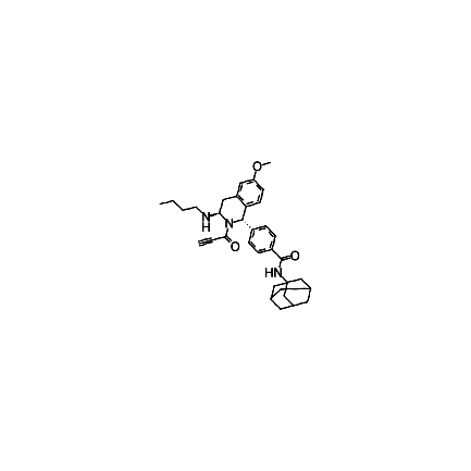 C#CC(=O)N1[C@@H](c2ccc(C(=O)NC34CC5CC(CC(C5)C3)C4)cc2)c2ccc(OC)cc2C[C@@H]1NCCCC